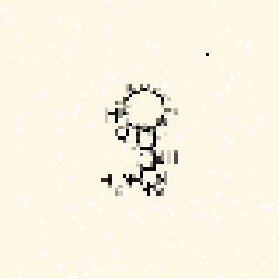 Cc1cc(Nc2cc(N)ncn2)cc2c1C(=O)NCCCCCCC2